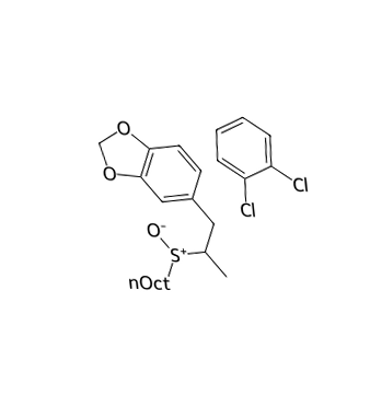 CCCCCCCC[S+]([O-])C(C)Cc1ccc2c(c1)OCO2.Clc1ccccc1Cl